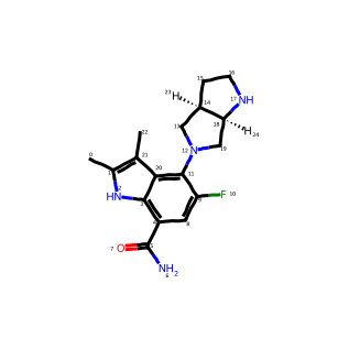 Cc1[nH]c2c(C(N)=O)cc(F)c(N3C[C@H]4CCN[C@H]4C3)c2c1C